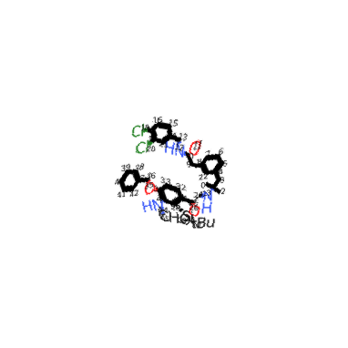 CC(C)(Cc1cccc(CC(=O)NCc2ccc(Cl)c(Cl)c2)c1)NC[C@H](O[Si](C)(C)C(C)(C)C)c1ccc(OCc2ccccc2)c(NC=O)c1